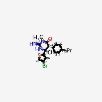 CC(C)c1ccc([C@H]2C(=O)N(C)C(=N)N[C@]2(C)c2cc(Br)cs2)cc1